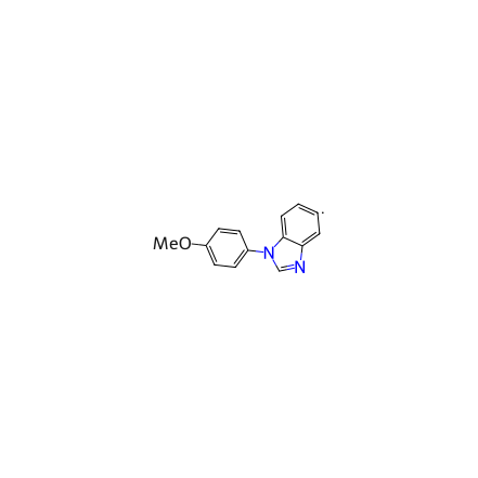 COc1ccc(-n2cnc3c[c]ccc32)cc1